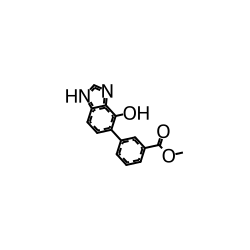 COC(=O)c1cccc(-c2ccc3[nH]cnc3c2O)c1